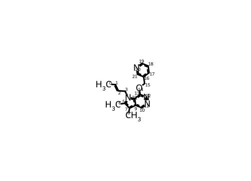 CC=CCn1c(C)c(C)c2cnnc(OCc3cccnc3)c21